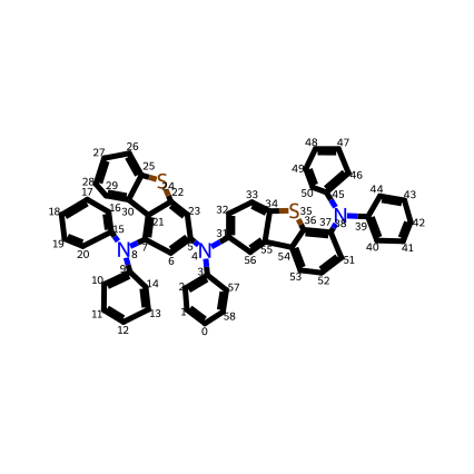 c1ccc(N(c2cc(N(c3ccccc3)c3ccccc3)c3c(c2)sc2ccccc23)c2ccc3sc4c(N(c5ccccc5)c5ccccc5)cccc4c3c2)cc1